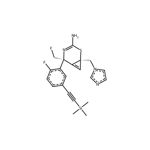 C[Si](C)(C)C#Cc1ccc(F)c([C@@]2(CF)N=C(N)S[C@@]3(Cn4ccnc4)C=C32)c1